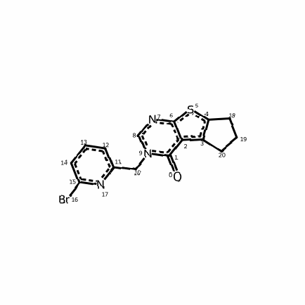 O=c1c2c3c(sc2ncn1Cc1cccc(Br)n1)CCC3